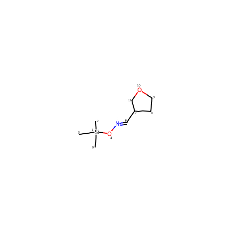 C[Si](C)(C)ON=CC1CCOC1